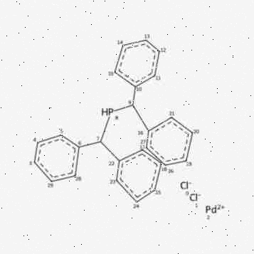 [Cl-].[Cl-].[Pd+2].c1ccc(C(PC(c2ccccc2)c2ccccc2)c2ccccc2)cc1